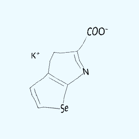 O=C([O-])C1=Nc2[se]ccc2C1.[K+]